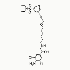 CCN(CC)S(=O)(=O)c1cncc(C#CCOCCCCCCNCC(O)c2cc(Cl)c(N)c(Cl)c2)c1